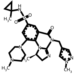 C[C@@H]1CN=C2N(Cc3cnn(C)c3)C(=O)c3cc(S(=O)(=O)NC4(C)CC4)cc(N4CCN(C)CC4)c3N21